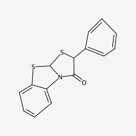 O=C1C(c2ccccc2)SC2Sc3ccccc3N12